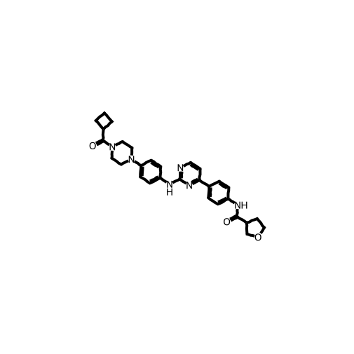 O=C(Nc1ccc(-c2ccnc(Nc3ccc(N4CCN(C(=O)C5CCC5)CC4)cc3)n2)cc1)C1CCOC1